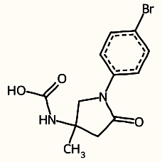 CC1(NC(=O)O)CC(=O)N(c2ccc(Br)cc2)C1